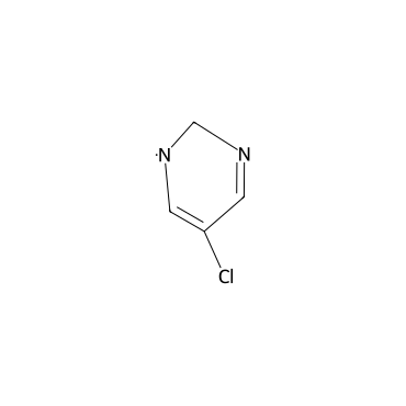 ClC1=C[N]CN=C1